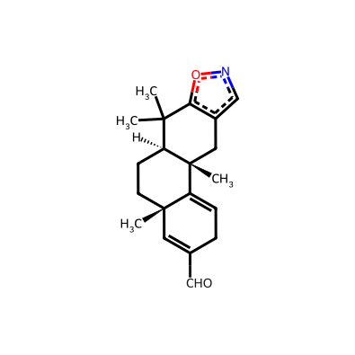 CC1(C)c2oncc2C[C@]2(C)C3=CCC(C=O)=C[C@]3(C)CC[C@@H]12